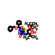 CC(C)C(O)C1=CN2C(=O)C(NC(=O)C(OCc3ccccc3)c3ccccc3)[C@H]2SC1C(=O)OC(C)(C)C